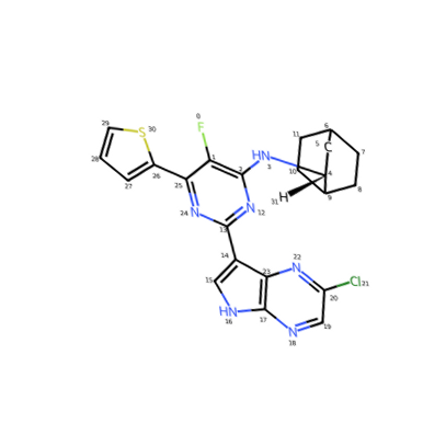 Fc1c(N[C@@H]2CC3CCC2CC3)nc(-c2c[nH]c3ncc(Cl)nc23)nc1-c1cccs1